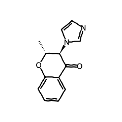 C[C@H]1Oc2ccccc2C(=O)[C@@H]1n1ccnc1